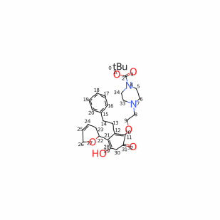 CC(C)(C)OC(=O)N1CCN(CCOC2=C(CCc3ccccc3)C(C3CC=CCO3)=C(O)CC2=O)CC1